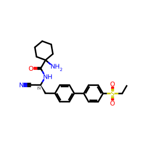 CCS(=O)(=O)c1ccc(-c2ccc(C[C@@H](C#N)NC(=O)C3(N)CCCCC3)cc2)cc1